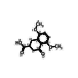 COc1ccc(OC)c2c1CC(C(=O)O)CC2=O